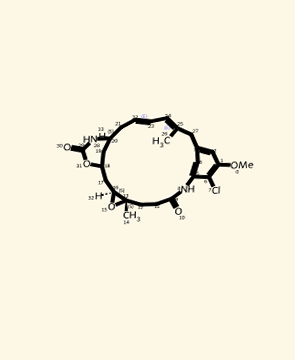 COc1cc2cc(c1Cl)NC(=O)CC[C@]1(C)O[C@H]1CC1C[C@H](C/C=C/C=C(\C)C2)NC(=O)O1